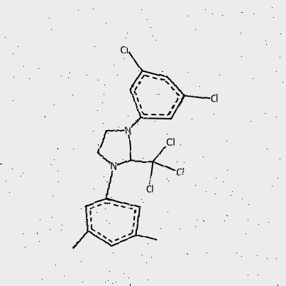 Cc1cc(C)cc(N2CCN(c3cc(Cl)cc(Cl)c3)C2C(Cl)(Cl)Cl)c1